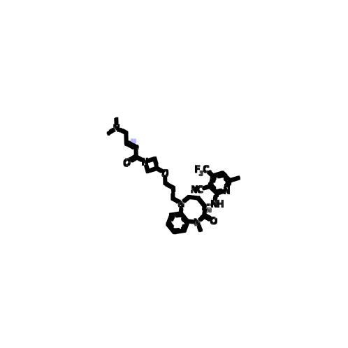 Cc1cc(C(F)(F)F)c(C#N)c(N[C@H]2CCN(CCCOC3CN(C(=O)/C=C/CN(C)C)C3)c3ccccc3N(C)C2=O)n1